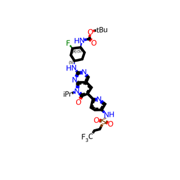 CC(C)n1c(=O)c(-c2ccc(NS(=O)(=O)CCC(F)(F)F)cn2)cc2cnc(N[C@H]3CC[C@H](NC(=O)OC(C)(C)C)[C@H](F)C3)nc21